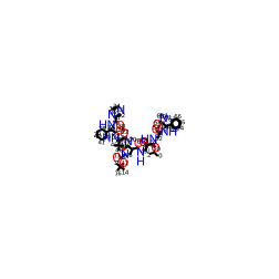 CCC[C@H](NC(=O)C1CN(C(=O)OC(C)(C)C)CC1N(C)C(=O)[C@@H](NC(=O)[C@@H](NC(=O)c1cnccn1)C1CCCCC1)C(C)(C)C)C(=O)C(=O)NCC(=O)N[C@H](C(=O)N(C)C)c1ccccc1